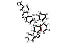 Clc1ccc2c(c1)sc1ccc(N(c3ccc4oc5ccccc5c4c3)c3ccccc3-c3ccccc3)cc12